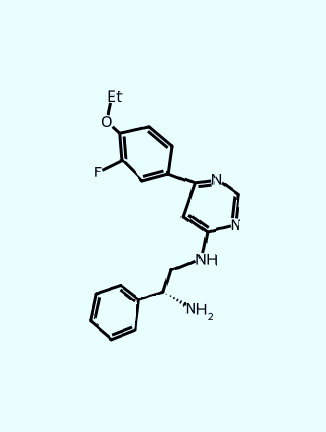 CCOc1ccc(-c2cc(NC[C@H](N)c3ccccc3)ncn2)cc1F